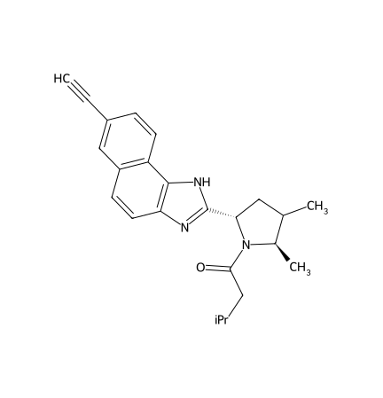 C#Cc1ccc2c(ccc3nc([C@@H]4CC(C)[C@@H](C)N4C(=O)CC(C)C)[nH]c32)c1